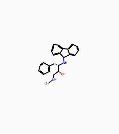 CC(C)(C)NC[C@H](O)[C@H](Cc1ccccc1)NC1c2ccccc2-c2ccccc21